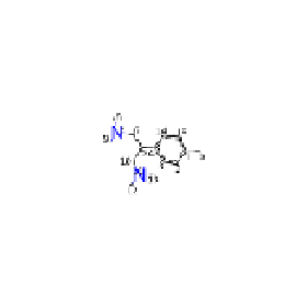 Cc1ccc(C(CN(C)C)CN(C)C)cc1